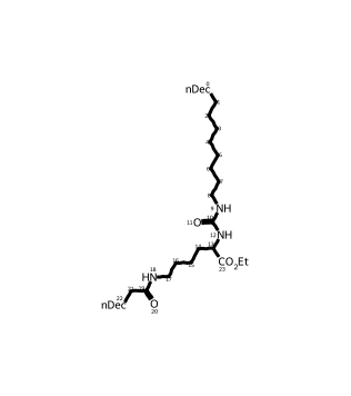 CCCCCCCCCCCCCCCCCCNC(=O)NC(CCCCNC(=O)CCCCCCCCCCC)C(=O)OCC